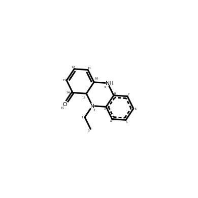 CCN1c2ccccc2NC2=CC=CC(=O)C21